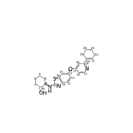 O[C@@H]1CCCC[C@H]1Nc1nc2ccc(Oc3ccnc(C4=CCCCC4)c3)cc2s1